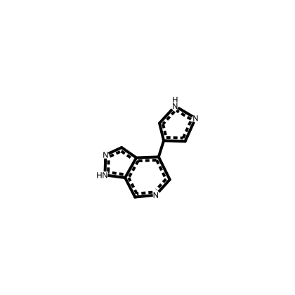 c1n[nH]cc1-c1cncc2[nH]ncc12